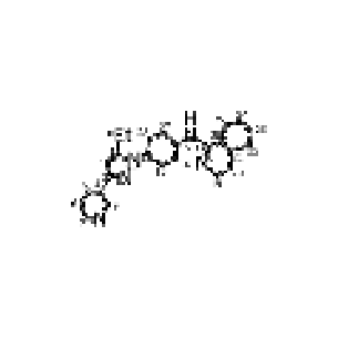 CCc1cc(-c2cccnc2)nn1-c1ccc(Nc2nccc3ccccc23)cc1